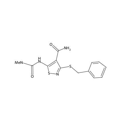 CNC(=O)Nc1snc(SCc2ccccc2)c1C(N)=O